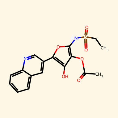 CCS(=O)(=O)Nc1oc(-c2cnc3ccccc3c2)c(O)c1OC(C)=O